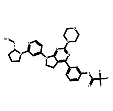 O=C(Oc1cccc(-c2nc(N3CCOCC3)nc3c2CCN3c2ccnc(N3CCC[C@@H]3CO)c2)c1)C(F)(F)F